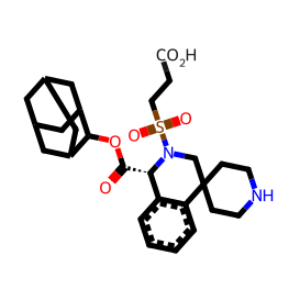 O=C(O)CCS(=O)(=O)N1CC2(CCNCC2)c2ccccc2[C@@H]1C(=O)OC1C2CC3CC(C2)CC1C3